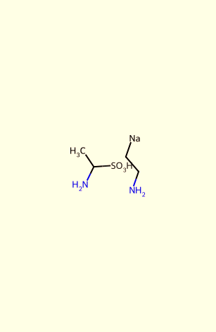 CC(N)S(=O)(=O)O.NC[CH2][Na]